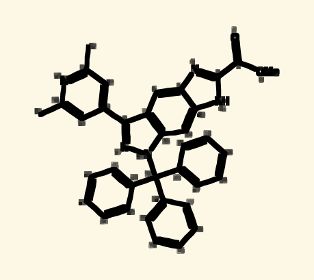 COC(=O)c1nc2cc3c(-c4cc(C)nc(C)c4)nn(C(c4ccccc4)(c4ccccc4)c4ccccc4)c3cc2[nH]1